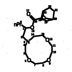 CCCC(CN1CCOCCOCCOCC1)OC(=O)C1CC2CCC1O2